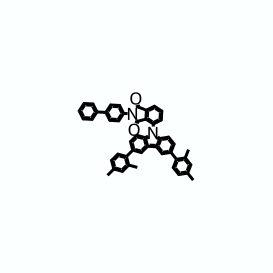 Cc1ccc(-c2ccc3c(c2)c2cc(-c4ccc(C)cc4C)ccc2n3-c2cccc3c2C(=O)N(c2ccc(-c4ccccc4)cc2)C3=O)c(C)c1